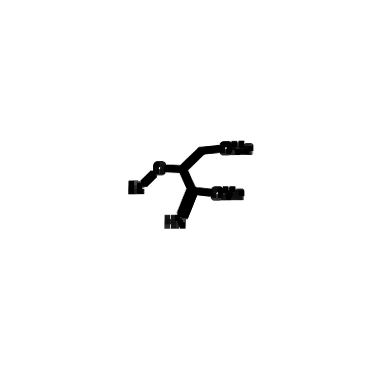 CCOC(COC)C(=N)OC